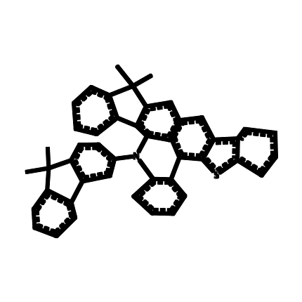 CC1(C)c2ccccc2-c2cc(N(c3ccccc3-c3cccc4c3sc3ccccc34)c3cccc4c3-c3ccccc3C4(C)C)ccc21